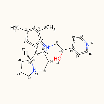 Cc1cc(C)c2c(c1)c1c(n2CC(O)c2ccncc2)CCN2CCC[C@H]12